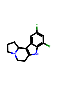 Fc1cc(Cl)cc2c3c([nH]c12)CCN1CCCC31